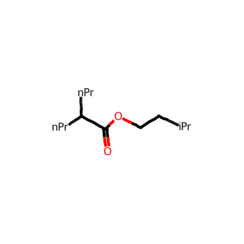 CCCC(CCC)C(=O)OCCC(C)C